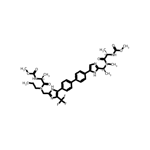 CCCN(Cc1nc(C(F)(F)F)c(-c2ccc(-c3ccc(-c4cnc([C@H](C)N(C)C(=O)[C@H](C)NC(=O)OC)[nH]4)cc3)cc2)[nH]1)C(=O)[C@H](C)NC(=O)OC